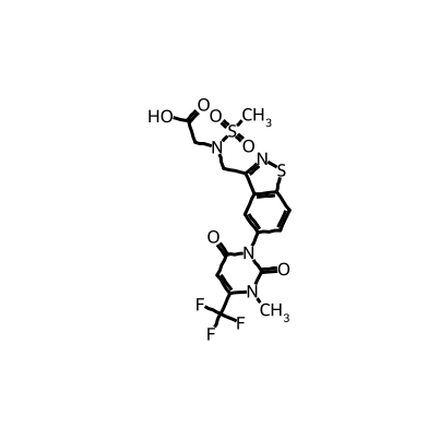 Cn1c(C(F)(F)F)cc(=O)n(-c2ccc3snc(CN(CC(=O)O)S(C)(=O)=O)c3c2)c1=O